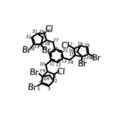 ClC1C2C=C(Br)C(Br)(C2)C1Cc1cc(CC2C(Cl)C3C=C(Br)C2(Br)C3)cc(CC2C(Cl)C3C=C(Br)C2(Br)C3)c1